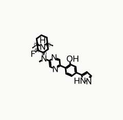 CN(c1cnc(-c2ccc(-c3ccn[nH]3)cc2O)cn1)[C@@H]1C[C@@]2(C)CCC[C@](C)(N2)[C@@H]1F